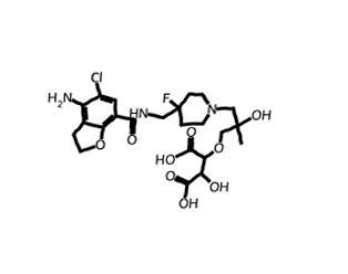 CC(O)(COC(C(=O)O)C(O)C(=O)O)CN1CCC(F)(CNC(=O)c2cc(Cl)c(N)c3c2OCC3)CC1